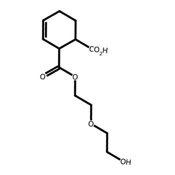 O=C(OCCOCCO)C1C=CCCC1C(=O)O